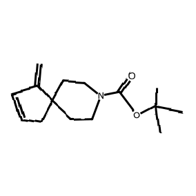 C=C1C=CCC12CCN(C(=O)OC(C)(C)C)CC2